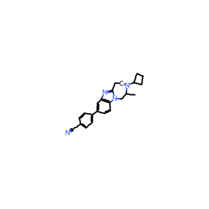 CC1Cn2c(nc3cc(-c4ccc(C#N)cc4)ccc32)CCN1C1CCC1